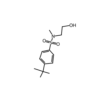 CN(CCO)S(=O)(=O)c1ccc(C(C)(C)C)cc1